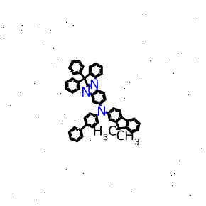 CC1(C)c2ccccc2-c2ccc(N(c3ccc(-c4ccccc4)cc3)c3ccc4c(c3)nc3n4-c4ccccc4C3(c3ccccc3)c3ccccc3)cc21